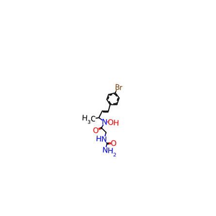 CC(/C=C/c1ccc(Br)cc1)N(O)C(=O)CNC(N)=O